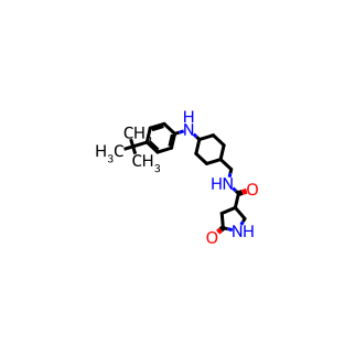 CC(C)(C)c1ccc(NC2CCC(CNC(=O)C3CNC(=O)C3)CC2)cc1